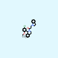 O=C(O)COc1ccc(Cl)cc1C1c2ccccc2CCN1C(=O)CCN1CCc2ccccc21